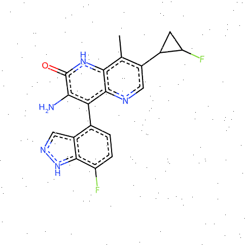 Cc1c(C2CC2F)cnc2c(-c3ccc(F)c4[nH]ncc34)c(N)c(=O)[nH]c12